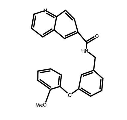 COc1ccccc1Oc1cccc(CNC(=O)c2ccc3ncccc3c2)c1